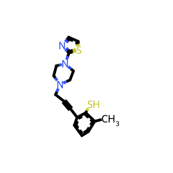 Cc1cccc(C#CCN2CCN(c3nccs3)CC2)c1S